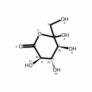 O=C1OC(O)(CO)[C@@H](O)[C@H](O)[C@H]1O